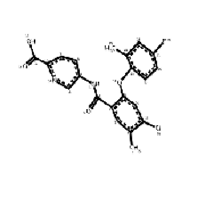 Cc1cc(C(=O)Nc2ccc(C(=O)O)nc2)c(Oc2ccc(F)cc2C)cc1Cl